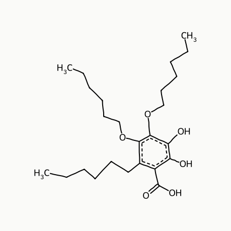 CCCCCCOc1c(O)c(O)c(C(=O)O)c(CCCCCC)c1OCCCCCC